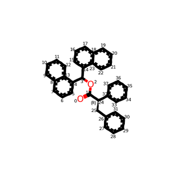 O=C(OC(c1cccc2ccccc12)c1cccc2ccccc12)[C@H](Cc1ccccc1)c1ccccc1